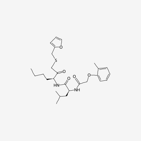 CCCC[C@H](NC(=O)[C@H](CC(C)C)NC(=O)COc1ccccc1C)C(=O)CSCc1ccco1